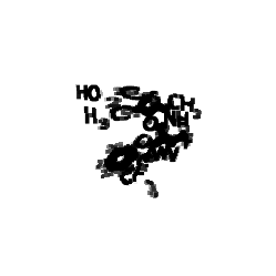 Cc1cc(C(C)NC(=O)c2c(C(F)F)nn(C)c2Oc2cccc(C(F)(F)F)c2)sc1C(=O)O